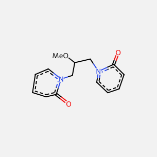 COC(Cn1ccccc1=O)Cn1ccccc1=O